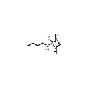 CCCCNP1(=S)NCN1